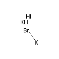 I.[KH].[K][Br]